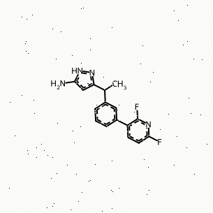 CC(c1cccc(-c2ccc(F)nc2F)c1)c1cc(N)[nH]n1